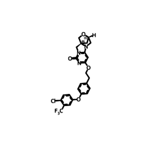 O=c1nc(OCCc2ccc(Oc3ccc(Cl)c(C(F)(F)F)c3)cc2)cc2n1C[C@]13CO[C@H](CN21)C3